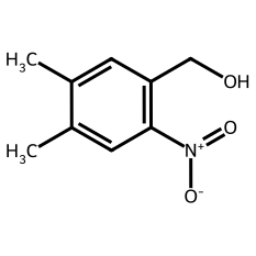 Cc1cc(CO)c([N+](=O)[O-])cc1C